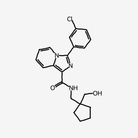 O=C(NCC1(CO)CCCC1)c1nc(-c2cccc(Cl)c2)n2ccccc12